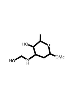 COC1CC(NCO)C(O)C(C)O1